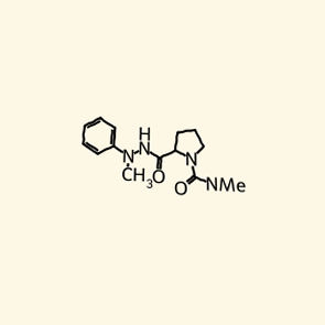 CNC(=O)N1CCCC1C(=O)NN(C)c1ccccc1